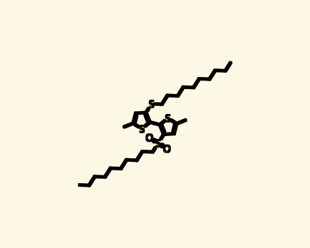 CCCCCCCCCCSc1cc(C)sc1-c1sc(C)cc1S(=O)(=O)CCCCCCCCCC